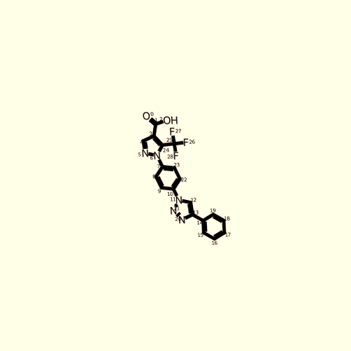 O=C(O)c1cnn(-c2ccc(-n3cc(-c4ccccc4)nn3)cc2)c1C(F)(F)F